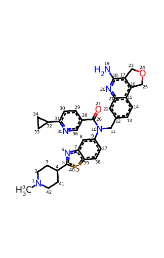 CN1CCC(c2nc3cc(N(Cc4ccc5c6c(c(N)nc5c4)COC6)C(=O)c4ccc(C5CC5)nc4)ccc3s2)CC1